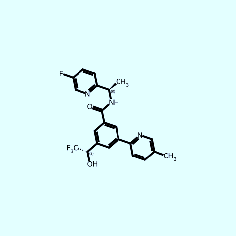 Cc1ccc(-c2cc(C(=O)N[C@H](C)c3ccc(F)cn3)cc([C@H](O)C(F)(F)F)c2)nc1